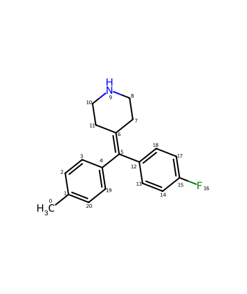 Cc1ccc(C(=C2CCNCC2)c2ccc(F)cc2)cc1